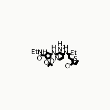 CCNC(=O)C1CC(Nc2nccc(NC(CC)Cc3sccc3Cl)c2N)C2OC(C)(C)OC12